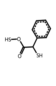 O=C(OS)C(S)c1ccccc1